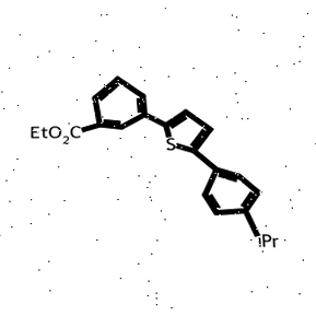 CCOC(=O)c1cccc(-c2ccc(-c3ccc(C(C)C)cc3)s2)c1